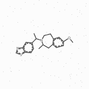 COc1ccc2c(c1)CCN(C(C)c1ccc3scnc3c1)C(C)C2